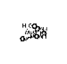 COc1cc(Nc2nccc(Nc3cnc4c(c3)CCC(C)C4)n2)ccc1OCCCN1CCCCC1